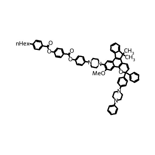 CCCCCCc1ccc(C(=O)Oc2ccc(C(=O)Oc3ccc(N4CCN(c5cc6c7c(c8c(c6cc5OC)OC(c5ccccc5)(c5ccc(N6CCN(c9ccccc9)CC6)cc5)C=C8)C(C)(C)c5ccccc5-7)CC4)cc3)cc2)cc1